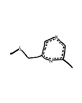 CSCc1cncc(C)n1